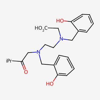 CC(C)C(=O)CN(CCN(CC(=O)O)Cc1ccccc1O)Cc1ccccc1O